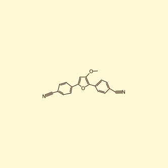 COc1cc(-c2ccc(C#N)cc2)oc1-c1ccc(C#N)cc1